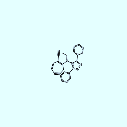 C#CC1=C(/C(=C\C)n2c(-c3ccccc3)nnc2-c2ccccc2)CC#CC=C1